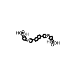 O=P(O)(O)Cc1ccc(C[n+]2ccc(-c3ccc4cc(-c5cc[n+](Cc6ccc(CP(=O)(O)O)cc6)cc5)ccc4c3)cc2)cc1